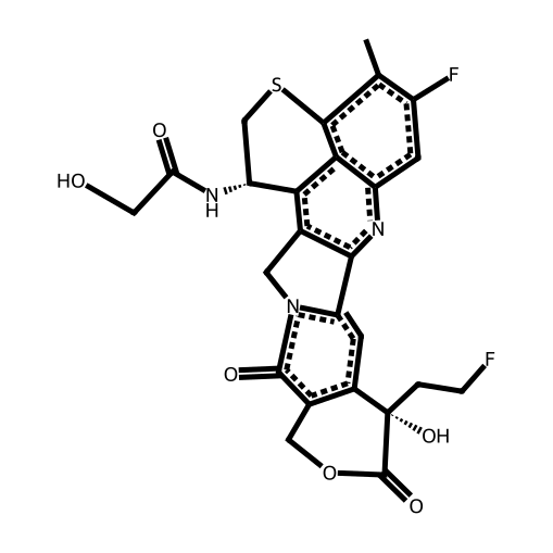 Cc1c(F)cc2nc3c(c4c2c1SC[C@H]4NC(=O)CO)Cn1c-3cc2c(c1=O)COC(=O)[C@]2(O)CCF